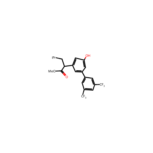 COC(=O)C(CC(C)C)c1cc(O)cc(-c2cc(C(F)(F)F)cc(C(F)(F)F)c2)c1